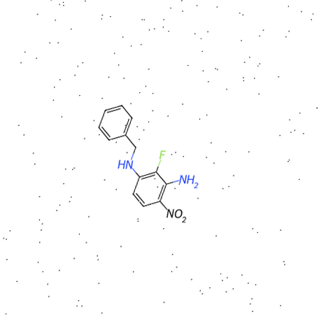 Nc1c([N+](=O)[O-])ccc(NCc2ccccc2)c1F